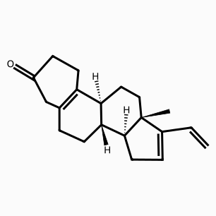 C=CC1=CC[C@H]2[C@@H]3CCC4=C(CCC(=O)C4)[C@H]3CC[C@]12C